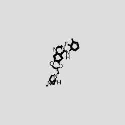 Cc1cccc(Nc2ncnc3cc4c(cc23)O[C@@H](CN2CC3C[C@@H]2CN3C)CO4)c1F